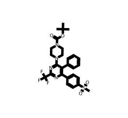 CC(C)(C)OC(=O)N1CCN(c2nc(C(F)(F)F)nc(-c3ccc(S(C)(=O)=O)cc3)c2-c2ccccc2)CC1